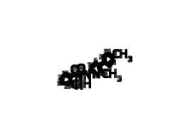 Cc1ccc(-c2ccc(NC(=O)NC(=O)c3ccccc3Cl)nc2C)cc1